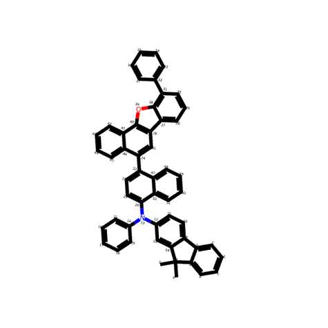 CC1(C)c2ccccc2-c2ccc(N(c3ccccc3)c3ccc(-c4cc5c6cccc(-c7ccccc7)c6oc5c5ccccc45)c4ccccc34)cc21